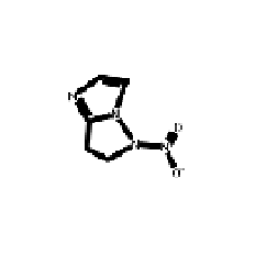 O=[N+]([O-])N1CCc2nccn21